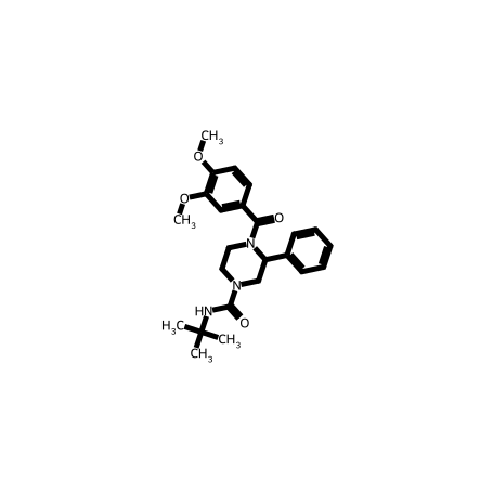 COc1ccc(C(=O)N2CCN(C(=O)NC(C)(C)C)CC2c2ccccc2)cc1OC